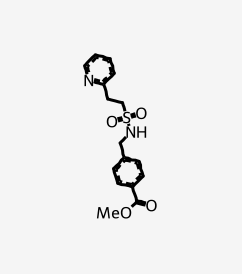 COC(=O)c1ccc(CNS(=O)(=O)CCc2ccccn2)cc1